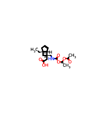 CC[C@@]12CC=C[C@H]1[C@](CNC(=O)O[C@H](C)OC(C)=O)(CC(=O)O)C2